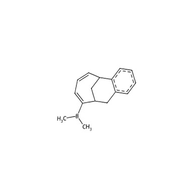 CB(C)C1=CC=CC2CC1Cc1ccccc12